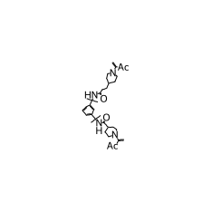 C=C(C(C)=O)N1CCC(CCC(=O)NC(C)(C)c2cccc(C(C)(C)NC(=O)C3CCN(C(=C)C(C)=O)CC3)c2)CC1